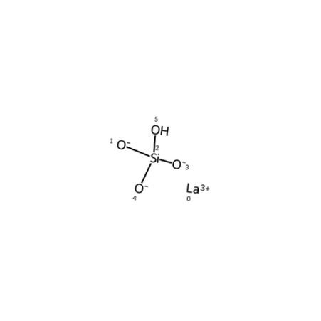 [La+3].[O-][Si]([O-])([O-])O